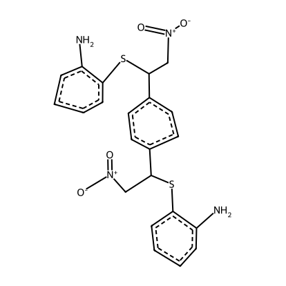 Nc1ccccc1SC(C[N+](=O)[O-])c1ccc(C(C[N+](=O)[O-])Sc2ccccc2N)cc1